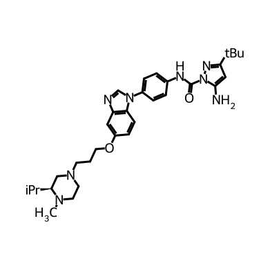 CC(C)[C@H]1CN(CCCOc2ccc3c(c2)ncn3-c2ccc(NC(=O)n3nc(C(C)(C)C)cc3N)cc2)CCN1C